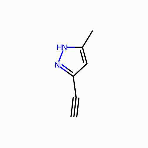 C#Cc1cc(C)[nH]n1